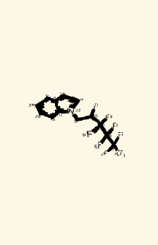 FC(F)(F)C(F)(F)C(F)(F)C(F)(F)C(I)Cn1ccc2ccccc21